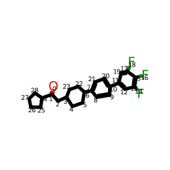 O=C(CC1CCC(c2ccc(-c3cc(F)c(F)c(F)c3)cc2)CC1)C1CCCC1